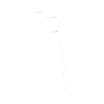 CCCCCCCCCCCCCCCCCOC(=O)CC(CCC)CCCCCCCCCCCC